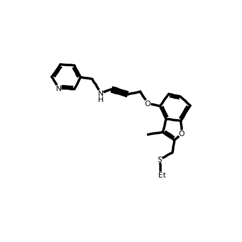 CCSCc1oc2cccc(OCC#CNCc3cccnc3)c2c1C